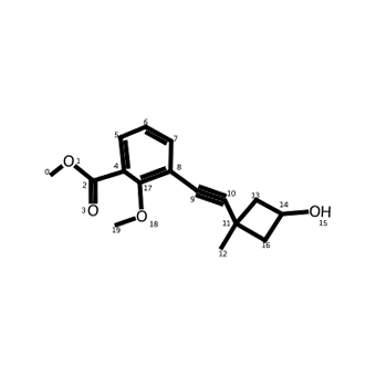 COC(=O)c1cccc(C#CC2(C)CC(O)C2)c1OC